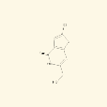 CCc1cc2c(=O)[nH]c(CO)nc2s1